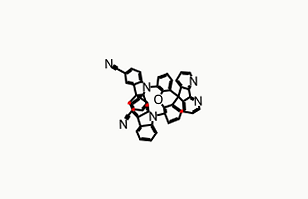 N#Cc1ccc2c(c1)c1cc(C#N)ccc1n2-c1cccc2c1Oc1c(-n3c4ccccc4c4ccccc43)cccc1C21c2cccnc2-c2ncccc21